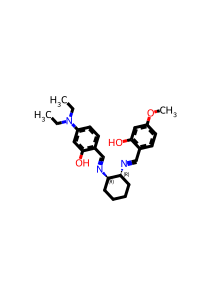 CCN(CC)c1ccc(C=N[C@@H]2CCCC[C@H]2N=Cc2ccc(OC)cc2O)c(O)c1